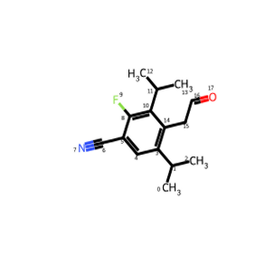 CC(C)c1cc(C#N)c(F)c(C(C)C)c1CC=O